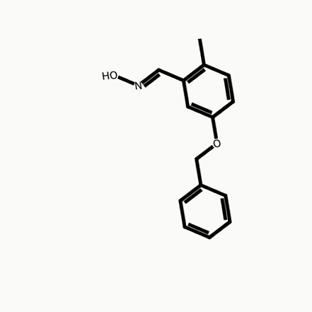 Cc1ccc(OCc2ccccc2)cc1C=NO